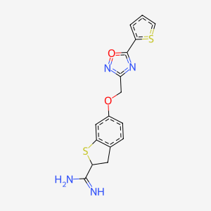 N=C(N)C1Cc2ccc(OCc3noc(-c4cccs4)n3)cc2S1